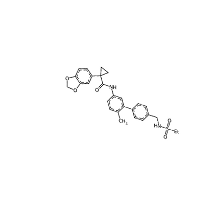 CCS(=O)(=O)NCc1ccc(-c2cc(NC(=O)C3(c4ccc5c(c4)OCO5)CC3)ccc2C)cc1